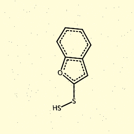 SSc1cc2ccccc2o1